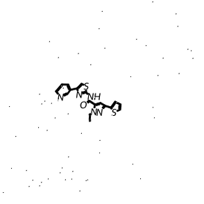 CCn1nc(-c2cccs2)cc1C(=O)Nc1nc(-c2cccnc2)cs1